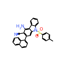 Cc1ccc(S(=O)(=O)n2c3ccccc3c3c(N)c(C#N)c(-c4cccc5ccccc45)cc32)cc1